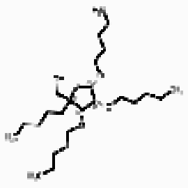 CCCCCO[C@H]1O[C@@](CO)(CCCCC)[C@@H](OCCCCC)[C@H]1OCCCCC